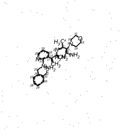 C=C(/N=C(/C)C(=C(N)N)N1CCOCC1)C(=C)c1cccnc1N(N)Cc1ccccc1F